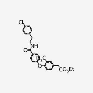 CCOC(=O)Cc1ccc(Oc2ccc(C(=O)NCCc3ccc(Cl)cc3)cc2)c(C)c1